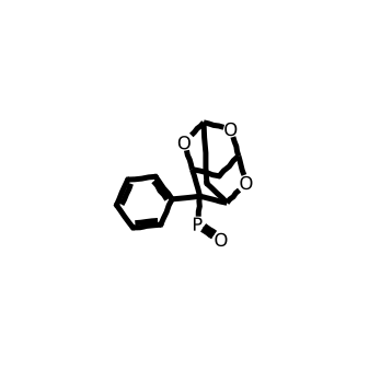 O=PC1(c2ccccc2)C2CC3OC(CC1O3)O2